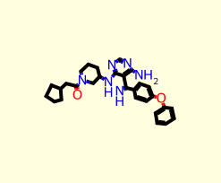 N=C(c1ccc(Oc2ccccc2)cc1)c1c(N)ncnc1NC1CCCN(C(=O)CC2CCCC2)C1